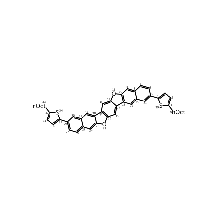 CCCCCCCCc1ccc(-c2ccc3cc4oc5cc6c(cc5c4cc3c2)oc2cc3ccc(-c4ccc(CCCCCCCC)s4)cc3cc26)s1